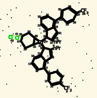 CCCC1=Cc2c(-c3ccc(C(F)(F)F)cc3)cccc2[CH]1[Zr+2]1([CH]2C(CCC)=Cc3c(-c4ccc(C(F)(F)F)cc4)cccc32)[CH]2CCCC[CH]21.[Cl-].[Cl-]